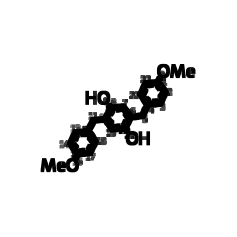 COc1ccc(Cc2cc(O)c(Cc3ccc(OC)cc3)cc2O)cc1